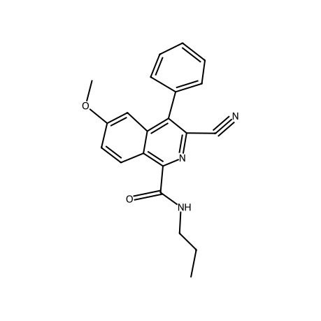 CCCNC(=O)c1nc(C#N)c(-c2ccccc2)c2cc(OC)ccc12